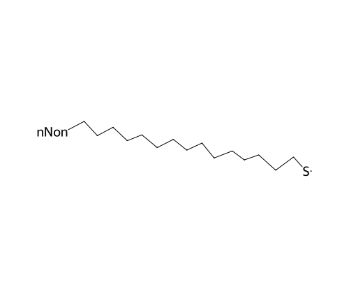 CCCCCCCCCCCCCCCCCCCCCCCC[S]